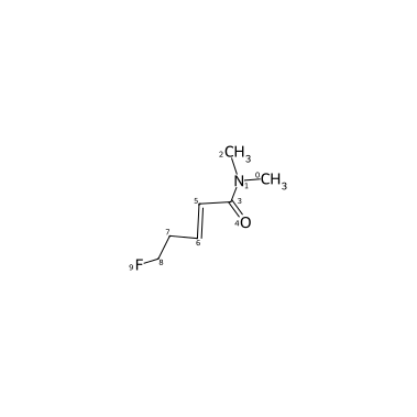 CN(C)C(=O)C=CCCF